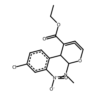 CCOC(=O)C1=C=COC(N(C)C)C1c1ccc(Cl)cc1[N+](=O)[O-]